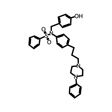 O=S(=O)(c1ccccc1)N(Cc1ccc(O)cc1)c1ccc(CCCN2CCN(c3ccccc3)CC2)cc1